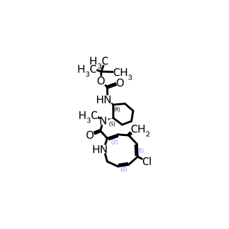 C=C1/C=C(/C(=O)N(C)[C@H]2CCCC[C@H]2NC(=O)OC(C)(C)C)NC/C=C\C(Cl)=C/1